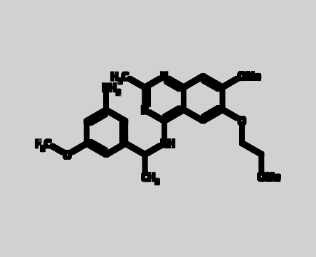 COCCOc1cc2c(NC(C)c3cc(N)cc(OC(F)(F)F)c3)nc(C)nc2cc1OC